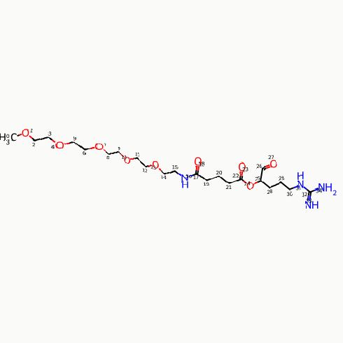 COCCOCCOCCOCCOCCNC(=O)CCCC(=O)OC(C=O)CCCNC(=N)N